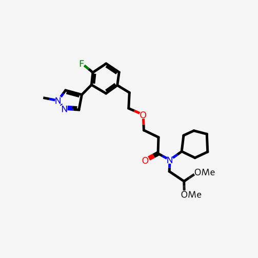 COC(CN(C(=O)CCOCCc1ccc(F)c(-c2cnn(C)c2)c1)C1CCCCC1)OC